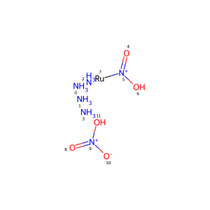 N.N.N.N.O=[N+](O)[Ru].O=[N+]([O-])O